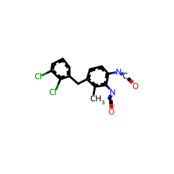 Cc1c(Cc2cccc(Cl)c2Cl)ccc(N=C=O)c1N=C=O